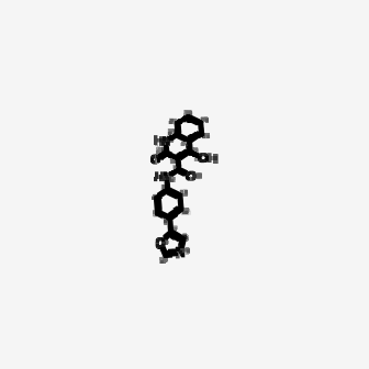 O=C(Nc1ccc(-c2cnco2)cc1)c1c(O)c2ccccc2[nH]c1=O